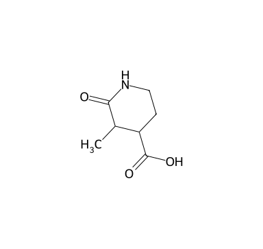 CC1C(=O)NCCC1C(=O)O